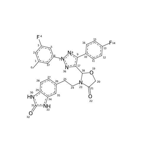 Cc1cc(F)cc(-n2nc(-c3ccc(F)cc3)c(C3OCC(=O)N3CCc3ccc4[nH]c(=O)[nH]c4c3)n2)c1